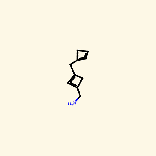 NCC1=C=C(CC2=C=CC2)C1